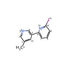 Cc1cncc(-c2cccc(I)n2)c1